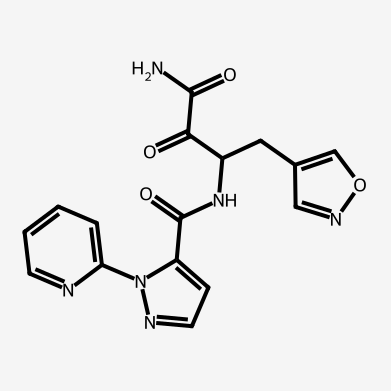 NC(=O)C(=O)C(Cc1cnoc1)NC(=O)c1ccnn1-c1ccccn1